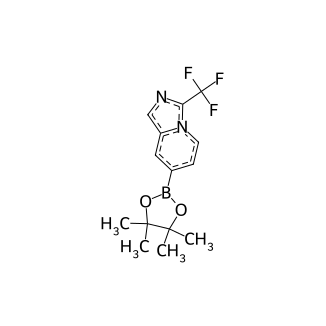 CC1(C)OB(c2ccn3c(C(F)(F)F)ncc3c2)OC1(C)C